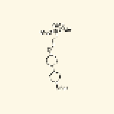 CCCCCCC1CCC(C2CCC(OCCC[Si](OC)(OC)OC)CC2)CC1